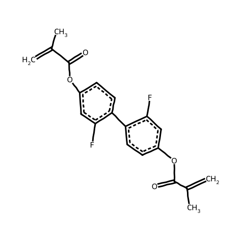 C=C(C)C(=O)Oc1ccc(-c2ccc(OC(=O)C(=C)C)cc2F)c(F)c1